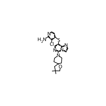 CC1(C)COC2(CCN(c3ncc(Sc4ccnc(N)c4Cl)c4nccn34)CC2)C1